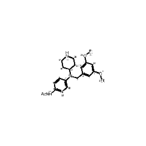 CCOc1cc(CN(c2ccc(NC(C)=O)nc2)C2CCNCC2)cc(OCC)c1